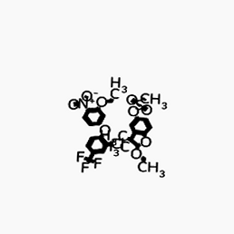 CCOC1Oc2ccc(OS(C)(=O)=O)cc2C1(C)C.CCOc1cc(Oc2ccc(C(F)(F)F)cc2Cl)ccc1[N+](=O)[O-]